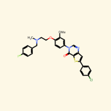 COc1cc(-n2cnc3cc(-c4ccc(Cl)cc4)sc3c2=O)ccc1OCCN(C)Cc1ccc(F)cc1